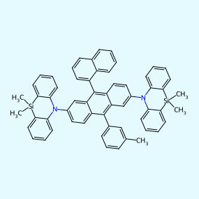 Cc1cccc(-c2c3cc(N4c5ccccc5[Si](C)(C)c5ccccc54)ccc3c(-c3cccc4ccccc34)c3cc(N4c5ccccc5[Si](C)(C)c5ccccc54)ccc23)c1